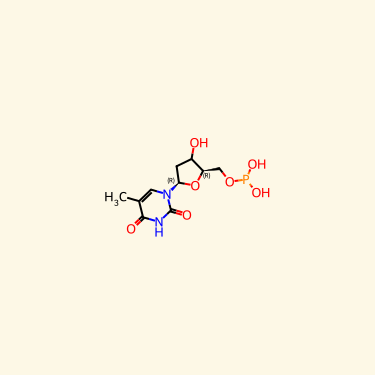 Cc1cn([C@H]2CC(O)[C@@H](COP(O)O)O2)c(=O)[nH]c1=O